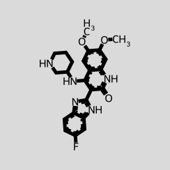 COc1cc2[nH]c(=O)c(-c3nc4ccc(F)cc4[nH]3)c(NC3CCCNC3)c2cc1OC